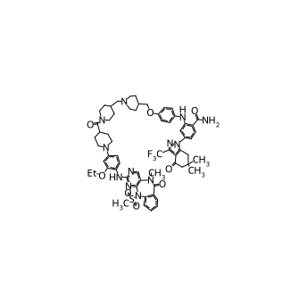 CCOc1cc(N2CCC(C(=O)N3CCC(CN4CCC(COc5ccc(Nc6cc(-n7nc(C(F)(F)F)c8c7CC(C)(C)CC8=O)ccc6C(N)=O)cc5)CC4)CC3)CC2)ccc1Nc1ncc2c(n1)N(S(C)(=O)=O)c1ccccc1C(=O)N2C